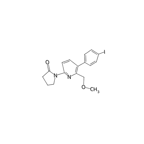 COCc1nc(N2CCCC2=O)ccc1-c1ccc(I)cc1